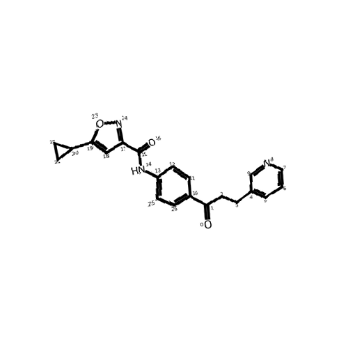 O=C(CCc1cccnc1)c1ccc(NC(=O)c2cc(C3CC3)on2)cc1